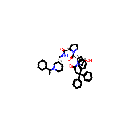 CC(C1CCCCC1)N1CCC[C@@H](CNC(=O)[C@H]2CCCN2C(=O)[C@@H]2C[C@@H](O)CN2C(=O)CC(c2ccccc2)(c2ccccc2)c2ccccc2)C1